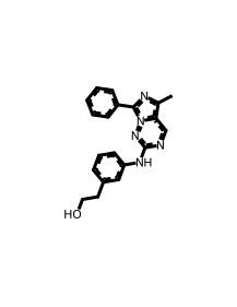 Cc1nc(-c2ccccc2)n2nc(Nc3cccc(CCO)c3)ncc12